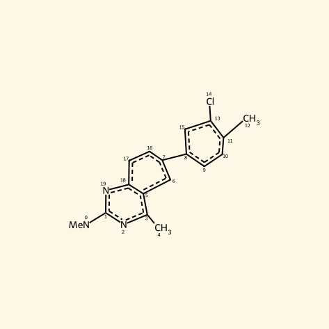 CNc1nc(C)c2cc(-c3ccc(C)c(Cl)c3)ccc2n1